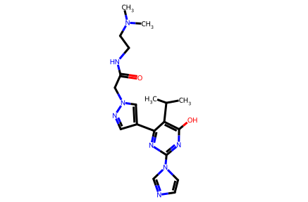 CC(C)c1c(O)nc(-n2ccnc2)nc1-c1cnn(CC(=O)NCCN(C)C)c1